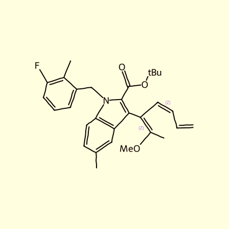 C=C/C=C\C(=C(/C)OC)c1c(C(=O)OC(C)(C)C)n(Cc2cccc(F)c2C)c2ccc(C)cc12